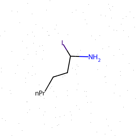 CCCCCC(N)I